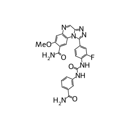 COc1cc2ncc3nnc(-c4ccc(NC(=O)Nc5cccc(C(N)=O)c5)c(F)c4)n3c2cc1C(N)=O